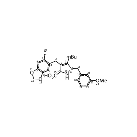 CCCCC1=C(Cc2cc3c(cc2Cl)OCO3)C(C(=O)O)NN1Cc1cccc(OC)c1